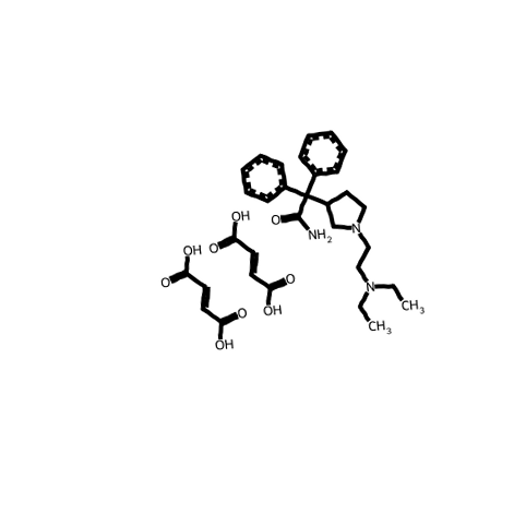 CCN(CC)CCN1CCC(C(C(N)=O)(c2ccccc2)c2ccccc2)C1.O=C(O)/C=C/C(=O)O.O=C(O)/C=C/C(=O)O